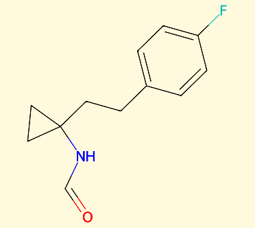 O=CNC1(CCc2ccc(F)cc2)CC1